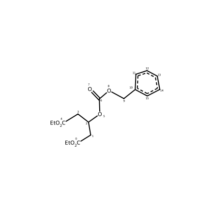 CCOC(=O)CC(CC(=O)OCC)OC(=O)OCc1ccccc1